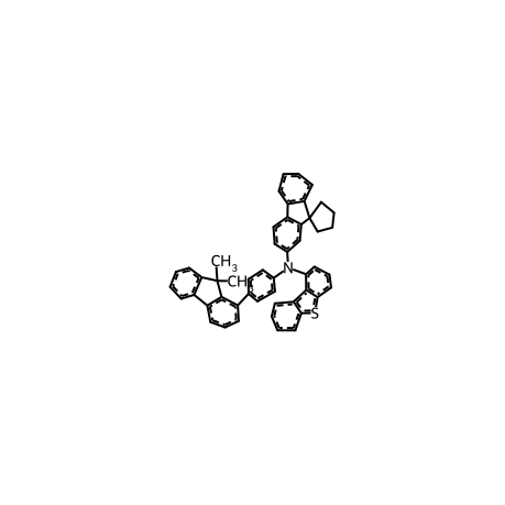 CC1(C)c2ccccc2-c2cccc(-c3ccc(N(c4ccc5c(c4)C4(CCCC4)c4ccccc4-5)c4cccc5sc6ccccc6c45)cc3)c21